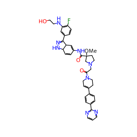 CO[C@@]1(C(=O)NC2=CC3C(c4ccc(F)c(NCCO)c4)=NNC3C=C2)CCN(CC(=O)N2CC=C(c3ccc(-c4ncccn4)cc3)CC2)C1